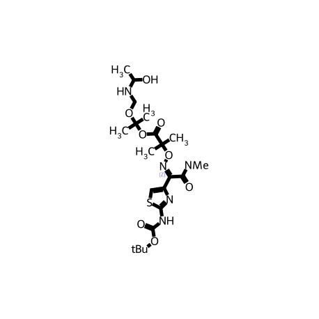 CNC(=O)/C(=N\OC(C)(C)C(=O)OC(C)(C)OCNC(C)O)c1csc(NC(=O)OC(C)(C)C)n1